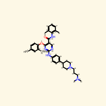 CCCc1ccc(Oc2nc(Nc3ccc(C4CCN(CCCN(C)C)CC4)cc3)ncc2C(=O)Nc2c(C)cccc2C)c(OC)c1